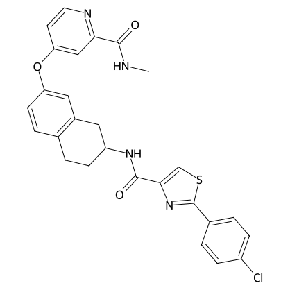 CNC(=O)c1cc(Oc2ccc3c(c2)CC(NC(=O)c2csc(-c4ccc(Cl)cc4)n2)CC3)ccn1